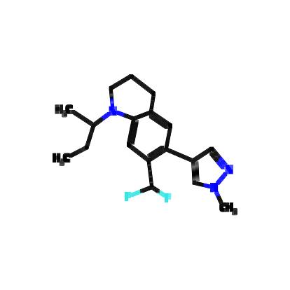 CCC(C)N1CCCc2cc(-c3cnn(C)c3)c(C(F)F)cc21